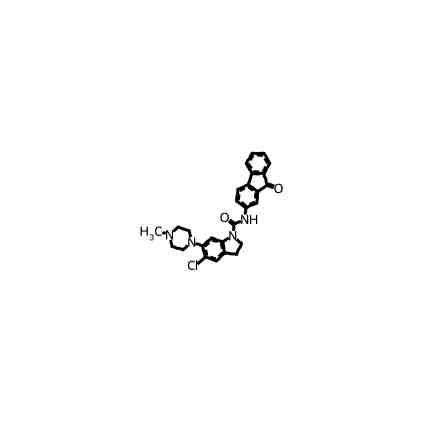 CN1CCN(c2cc3c(cc2Cl)CCN3C(=O)Nc2ccc3c(c2)C(=O)c2ccccc2-3)CC1